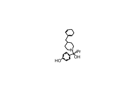 CC(C)[C@@](O)(c1ccc(O)cc1)N1CCC(CC2=CCCC=C2)CC1